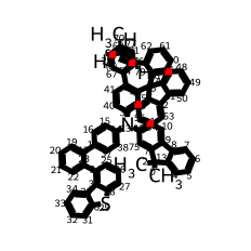 CC1(C)c2ccccc2-c2ccc(N(c3ccc(-c4ccccc4-c4cccc5sc6ccccc6c45)cc3)c3ccc4c(c3)C3(c5ccccc5-c5ccccc53)c3ccccc3C3[C@H]5C[C@@H]6C[C@@H](C)C[C@@H](C5)C436)cc21